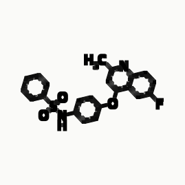 Cc1cc(Oc2ccc(NS(=O)(=O)c3ccccc3)cc2)c2cc(F)ccc2n1